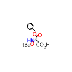 CC(C)(C)ONC(CC(=O)O)C(=O)OCc1ccccc1